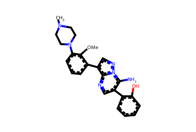 COc1c(-c2cnn3c(N)c(-c4ccccc4O)cnc23)cccc1N1CCN(C)CC1